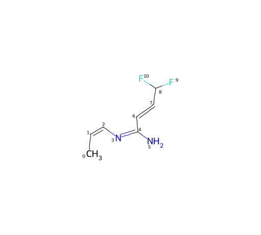 C\C=C/N=C(N)\C=C\C(F)F